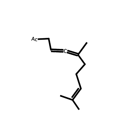 CC(=O)CC=C=C(C)CCC=C(C)C